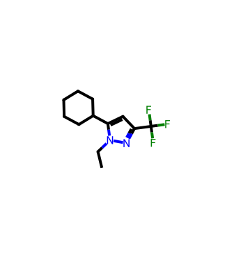 CCn1nc(C(F)(F)F)cc1C1CCCCC1